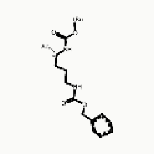 CC(=O)[C@@H](CCCNC(=O)OCc1ccccc1)NC(=O)OC(C)(C)C